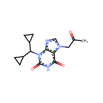 CC(=O)Cn1cnc2c1c(=O)[nH]c(=O)n2C(C1CC1)C1CC1